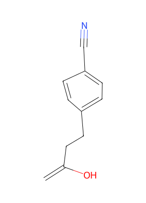 C=C(O)CCc1ccc(C#N)cc1